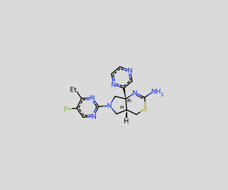 CCc1nc(N2C[C@H]3CSC(N)=N[C@@]3(c3cnccn3)C2)ncc1F